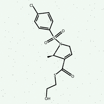 C[C@@H]1C(C(=O)SCCO)=CCN1S(=O)(=O)c1ccc(Cl)cc1